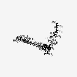 CC(C)C[C@H](N)C(=O)O.CC(C)C[C@H](N)C(=O)O.CC(C)[C@H](N)C(=O)O.CC(C)[C@H](N)C(=O)O.CC(C)[C@H](N)C(=O)Oc1ccc(C[C@H](N)C(=O)O)cc1.CSCC[C@H](N)C(=O)OC[C@H](N)C(=O)O[C@H](C)[C@H](N)C(=O)OC(=O)CN.C[C@H](N)C(=O)O.C[C@H](N)C(=O)O.N[C@@H](CC(=O)O)C(=O)O.N[C@@H](CC(=O)O)C(=O)O.N[C@@H](CCC(=O)O)C(=O)O.N[C@@H](CO)C(=O)O.N[C@@H](Cc1ccccc1)C(=O)O